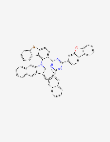 c1ccc2cc(-c3nc(-c4ccc5c(c4)oc4ccccc45)nc(-c4ccc5sc6ccccc6c5c4-n4c5ccccc5c5cc6ccccc6cc54)n3)ccc2c1